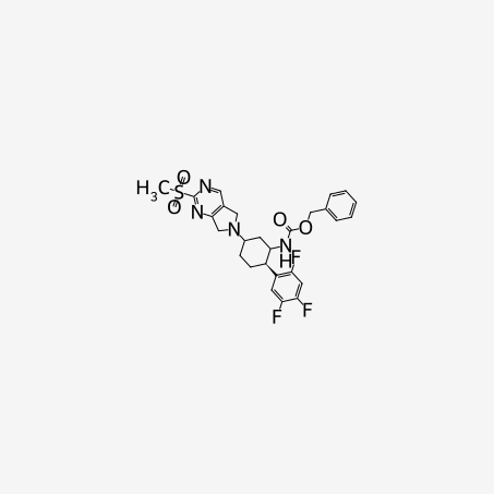 CS(=O)(=O)c1ncc2c(n1)CN(C1CC[C@H](c3cc(F)c(F)cc3F)C(NC(=O)OCc3ccccc3)C1)C2